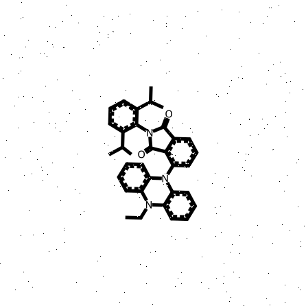 CCN1c2ccccc2N(c2cccc3c2C(=O)N(c2c(C(C)C)cccc2C(C)C)C3=O)c2ccccc21